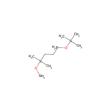 C[Si](C)(C)O[SiH2]CC[Si](C)(C)O[SiH3]